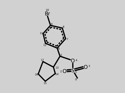 CS(=O)(=O)OC(c1ccc(Br)cc1)C1CCCC1